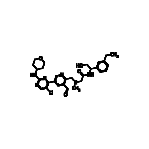 CCc1cccc(C(CO)NC(=O)CN(C)Cc2ncc(-c3nc(NC4CCOCC4)ncc3Cl)cc2C=O)c1